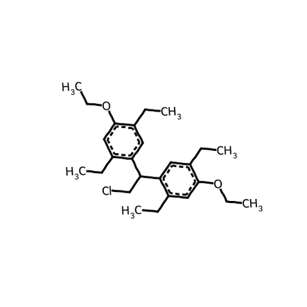 CCOc1cc(CC)c(C(CCl)c2cc(CC)c(OCC)cc2CC)cc1CC